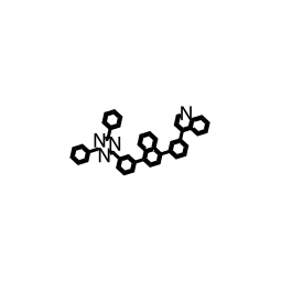 c1ccc(-c2nc(-c3ccccc3)nc(-c3cccc(-c4ccc(-c5cccc(-c6ccnc7ccccc67)c5)c5ccccc45)c3)n2)cc1